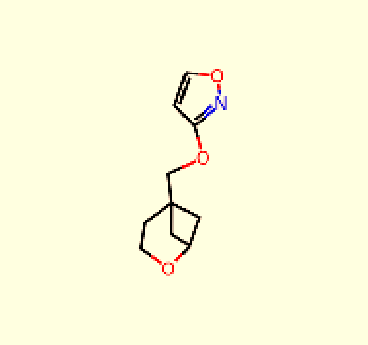 c1cc(OCC23CCOC(C2)C3)no1